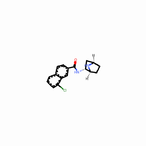 O=C(N[C@@H]1C[C@H]2CC[C@@H]1N2)c1ccc2cccc(Cl)c2c1